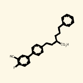 N#Cc1cc(-c2ccc(CCC(CCCc3ccccc3)C(=O)O)cc2)ccc1F